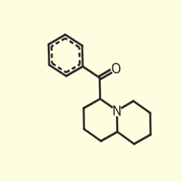 O=C(c1ccccc1)C1CCCC2CCCCN21